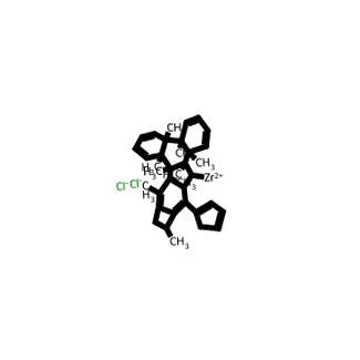 CC1=C2CC(C)C2=C(C2=CC=CC2)C2[CH]([Zr+2])C3(C)C4(C)C=CC=CC4(C)C4(C)C=CC=CC4(C)C3(C)C12C.[Cl-].[Cl-]